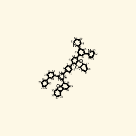 C1=CC2Oc3c(-c4ccc(-c5nc(-c6cccc(-c7ccccc7)c6)nc(-c6cccc7c6oc6ccccc67)n5)cc4)ccc(-c4cc(-c5ccccn5)cc(-c5ccccn5)c4)c3OC2C=C1